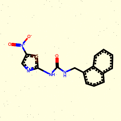 O=C(NCc1cccc2ccccc12)Nc1ncc([N+](=O)[O-])s1